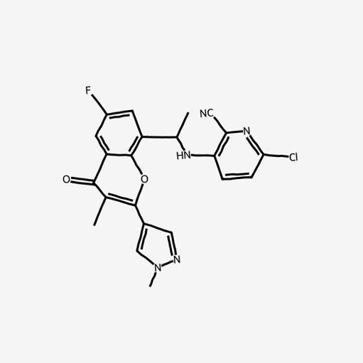 Cc1c(-c2cnn(C)c2)oc2c(C(C)Nc3ccc(Cl)nc3C#N)cc(F)cc2c1=O